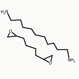 C(CCC1CO1)CC1CO1.NCCCCCCCCCCN